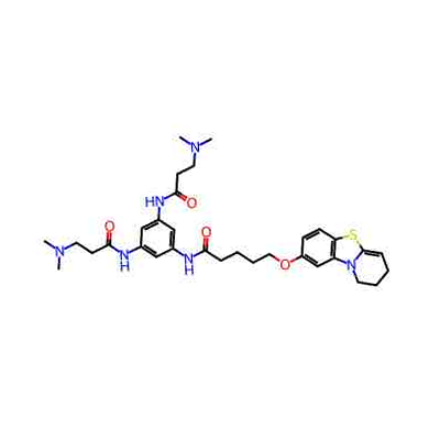 CN(C)CCC(=O)Nc1cc(NC(=O)CCCCOc2ccc3c(c2)N2CCCC=C2S3)cc(NC(=O)CCN(C)C)c1